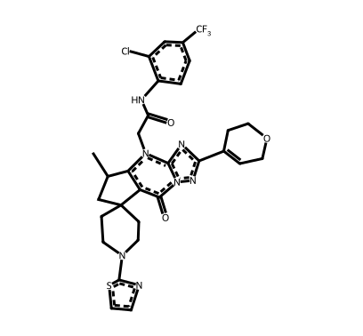 CC1CC2(CCN(c3nccs3)CC2)c2c1n(CC(=O)Nc1ccc(C(F)(F)F)cc1Cl)c1nc(C3=CCOCC3)nn1c2=O